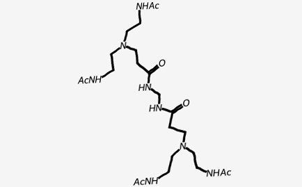 CC(=O)NCCN(CCNC(C)=O)CCC(=O)NCNC(=O)CCN(CCNC(C)=O)CCNC(C)=O